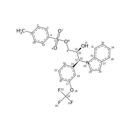 Cc1ccc(S(=O)(=O)OC[C@@H](O)[C@H](c2cccc(OC(F)(F)F)c2)n2ccc3ccccc32)cc1